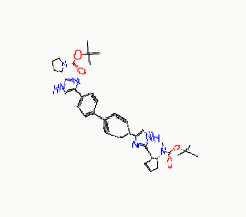 CN(C(=O)OC(C)(C)C)[C@@H]1CCC[C@H]1c1nc(-c2ccc(-c3ccc(-c4c[nH]c([C@@H]5CCCN5C(=O)OC(C)(C)C)n4)cc3)cc2)c[nH]1